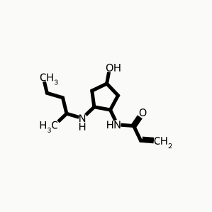 C=CC(=O)NC1CC(O)CC1NC(C)CCC